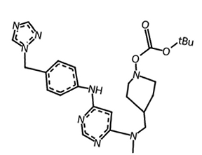 CN(CC1CCN(OC(=O)OC(C)(C)C)CC1)c1cc(Nc2ccc(Cn3cncn3)cc2)ncn1